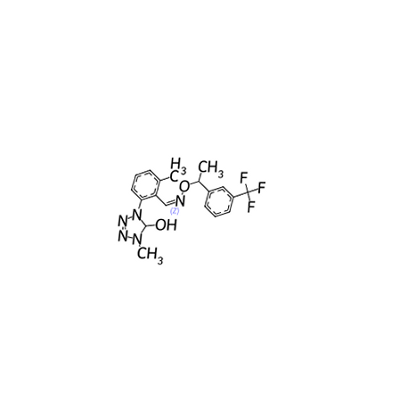 Cc1cccc(N2N=NN(C)C2O)c1/C=N\OC(C)c1cccc(C(F)(F)F)c1